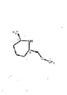 COC[C@H]1CCC[C@@H](C)N1